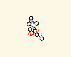 C1=CC2OC3=CCCC=C3C3(c4ccc(C5CCCCN5)cc4OC4C=CC(C5=CCCc6c5n(C5CC=CCC5)c5ccccc65)CC43)C2C=C1